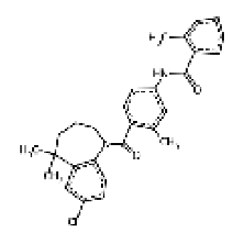 Cc1ccccc1C(=O)Nc1ccc(C(=O)N2CCCC(C)(C)c3cc(Cl)ccc32)c(C)c1